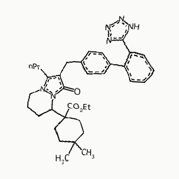 CCCc1c(Cc2ccc(-c3ccccc3-c3nnn[nH]3)cc2)c(=O)n2n1CCCC2C1(C(=O)OCC)CCC(C)(C)CC1